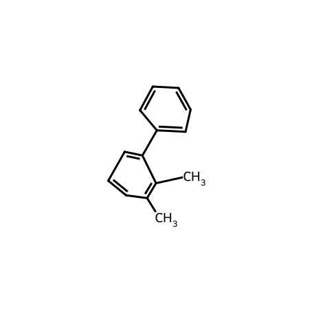 Cc1cccc(-c2ccccc2)c1C